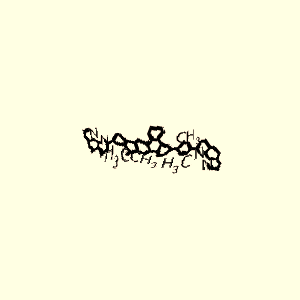 Cc1cc(-c2ccc3ccc4cccnc4c3n2)c(C)cc1-c1ccc2c(c1)c1ccccc1c1cc3c(cc21)C(C)(C)c1cc(-c2ccc4ccc5cccnc5c4n2)ccc1-3